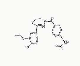 CCOc1cc(C2=NN(C(=O)c3ccc(NC(C)=O)cc3)CCC2)ccc1OC